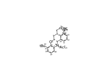 CCCCCCCCCCCCCCOc1c(N(Cc2ccc[n+](CCC)c2)C(C)=O)cccc1C(C)(C)C.[I-]